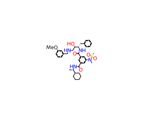 COc1cccc(CNC[C@@H](O)[C@H](Cc2ccccc2)NC(=O)c2cc(C(=O)N[C@H](C)C3CCCCC3)cc(N(C)S(C)(=O)=O)c2)c1